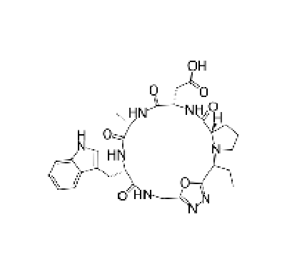 CCC1c2nnc(o2)CNC(=O)[C@H](Cc2c[nH]c3ccccc23)NC(=O)[C@H](C)NC(=O)[C@H](CC(=O)O)NC(=O)[C@@H]2CCCN12